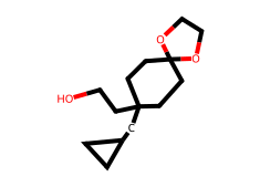 OCCC1(CC2CC2)CCC2(CC1)OCCO2